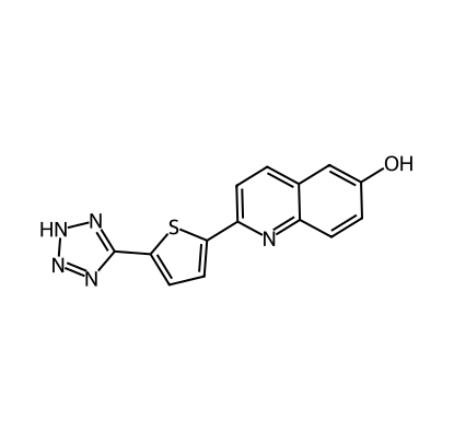 Oc1ccc2nc(-c3ccc(-c4nn[nH]n4)s3)ccc2c1